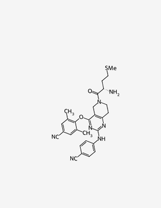 CSCC[C@H](N)C(=O)N1CCc2nc(Nc3ccc(C#N)cc3)nc(Oc3c(C)cc(C#N)cc3C)c2C1